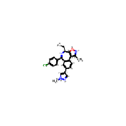 CC(=O)C[C@@H]1N=C(c2ccc(Cl)cc2)c2cc(-c3cnn(C)c3)ccc2-c2c(C)noc21